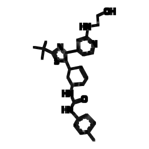 Cc1ccc(NC(=O)NC2=CC=CC(c3sc(C(C)(C)C)nc3-c3ccnc(NCCO)c3)C2)cc1